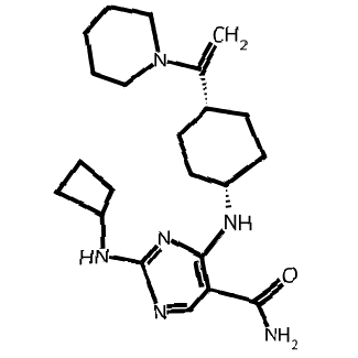 C=C([C@H]1CC[C@@H](Nc2nc(NC3CCC3)ncc2C(N)=O)CC1)N1CCCCC1